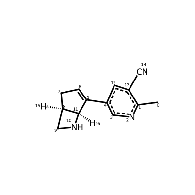 Cc1ncc(C2=CC[C@@H]3CN[C@H]23)cc1C#N